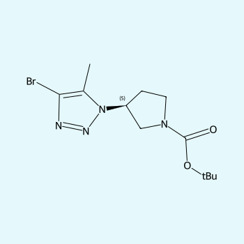 Cc1c(Br)nnn1[C@H]1CCN(C(=O)OC(C)(C)C)C1